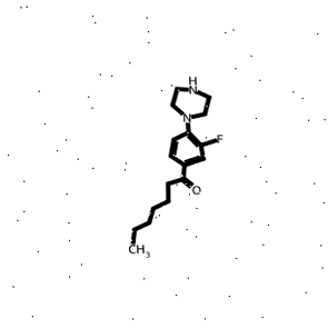 CCCCCCC(=O)c1ccc(N2CCNCC2)c(F)c1